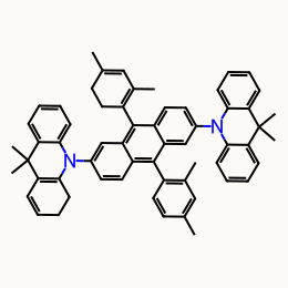 CC1=CC(C)=C(c2c3cc(N4C5=C(C=CCC5)C(C)(C)c5ccccc54)ccc3c(-c3ccc(C)cc3C)c3cc(N4c5ccccc5C(C)(C)c5ccccc54)ccc23)CC1